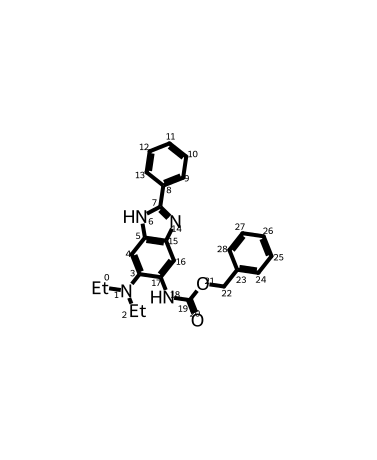 CCN(CC)c1cc2[nH]c(-c3ccccc3)nc2cc1NC(=O)OCc1ccccc1